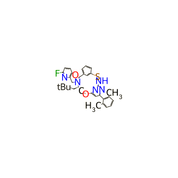 Cc1cccc(C)c1-c1cc2nc(n1)NSc1cccc(c1)C(=O)N(Cc1cccc(F)n1)[C@H](CC(C)(C)C)CO2